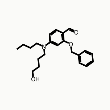 CCCCN(CCCCO)c1ccc(C=O)c(OCc2ccccc2)c1